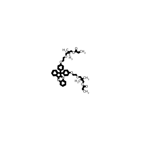 C=CC(=O)OCC(C)(C)COCCOc1ccc(C2(c3ccc(OCCOCC(C)(C)COC(=O)C=C)cc3)c3ccccc3-c3nc4ccccc4nc32)cc1